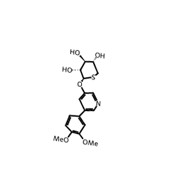 COc1ccc(-c2cncc(O[C@@H]3SC[C@@H](O)[C@H](O)[C@H]3O)c2)cc1OC